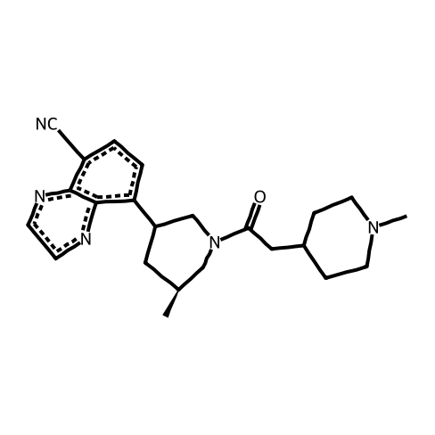 C[C@H]1CC(c2ccc(C#N)c3nccnc23)CN(C(=O)CC2CCN(C)CC2)C1